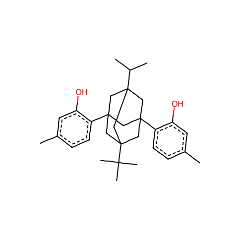 Cc1ccc(C23CC4(c5ccc(C)cc5O)CC(C(C)C)(C2)CC(C(C)(C)C)(C3)C4)c(O)c1